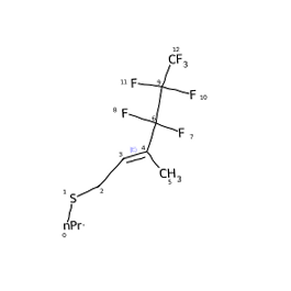 CC[CH]SC/C=C(\C)C(F)(F)C(F)(F)C(F)(F)F